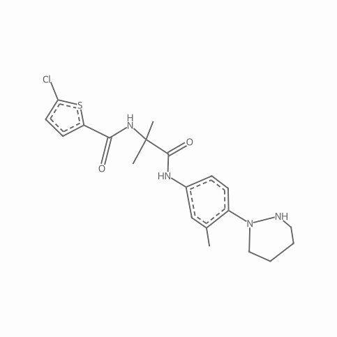 Cc1cc(NC(=O)C(C)(C)NC(=O)c2ccc(Cl)s2)ccc1N1CCCCN1